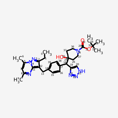 CCc1nn2c(C)cc(C)nc2c1Cc1ccc(C(c2c[nH]nn2)C2(O)CCN(C(=O)OC(C)(C)C)CC2)cc1